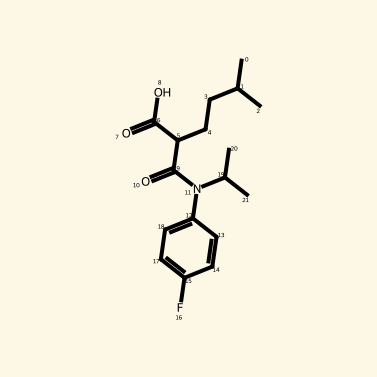 CC(C)CCC(C(=O)O)C(=O)N(c1ccc(F)cc1)C(C)C